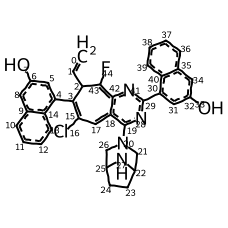 C=CC1C(c2cc(O)cc3ccccc23)=C(Cl)C=c2c(N3CC4CCC(C3)N4)nc(-c3cc(O)cc4ccccc34)nc2=C1F